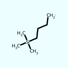 [CH2]CCC[Si](C)(C)C